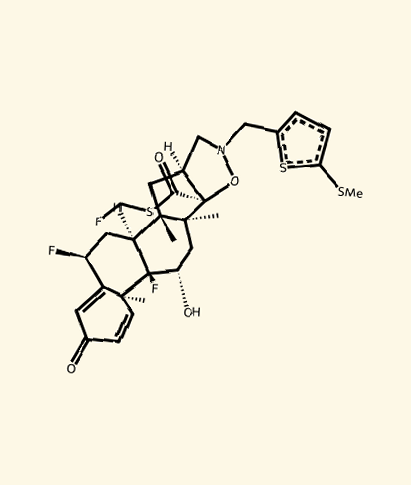 CSc1ccc(CN2C[C@@H]3C[C@@]4(C)[C@@H]5C[C@H](F)C6=CC(=O)C=C[C@]6(C)[C@@]5(F)[C@@H](O)C[C@]4(C)[C@]3(C(=O)SCF)O2)s1